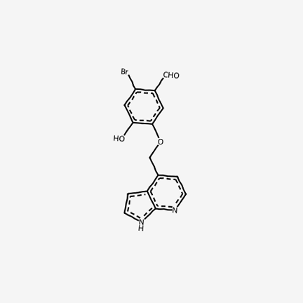 O=Cc1cc(OCc2ccnc3[nH]ccc23)c(O)cc1Br